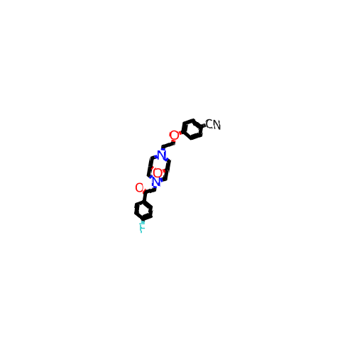 N#Cc1ccc(OCCN2CC3CN(CC(=O)c4ccc(F)cc4)CC(C2)O3)cc1